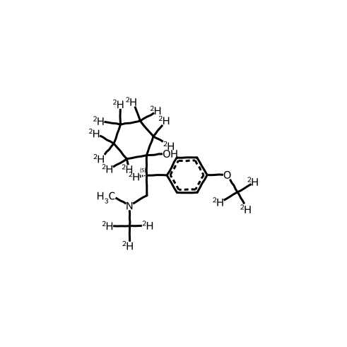 [2H]C([2H])([2H])Oc1ccc([C@@]([2H])(CN(C)C([2H])([2H])[2H])C2(O)C([2H])([2H])C([2H])([2H])C([2H])([2H])C([2H])([2H])C2([2H])[2H])cc1